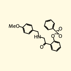 COc1ccc(CNCC(=O)c2ccccc2OS(=O)(=O)c2ccccc2)cc1